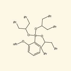 CCCOc1ccccc1[Si](OC(CC(C)C)CC(C)C)(OC(CC(C)C)CC(C)C)OC(CC(C)C)CC(C)C